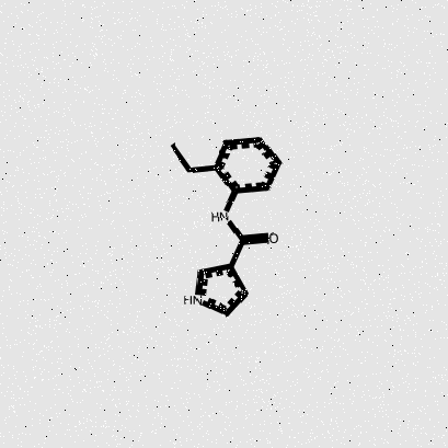 CCc1ccccc1NC(=O)c1cc[nH]c1